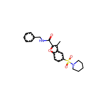 Cc1c(C(=O)NCc2ccccc2)oc2ccc(S(=O)(=O)N3CCCCC3)cc12